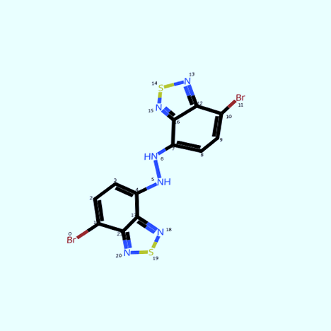 Brc1ccc(NNc2ccc(Br)c3nsnc23)c2nsnc12